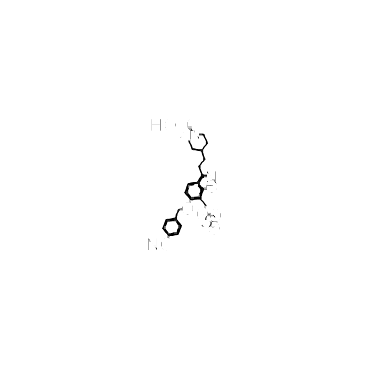 CS(=O)(=O)OCc1c(OCc2ccc(C#N)cc2)ccc2c(CCC3CCN(C(=O)O)CC3)noc12